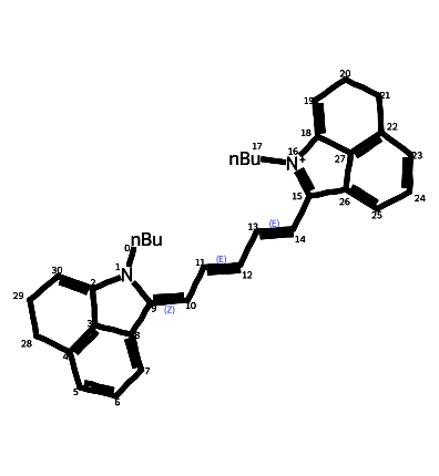 CCCCn1c2c3c(cccc3/c1=C/C=C/C=C/C1=[N+](CCCC)C3=CCCc4cccc1c43)CCC=2